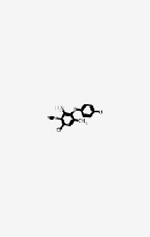 Cc1cc(Cl)c([N+]#N)c(N)c1Oc1ccc(Cl)cc1